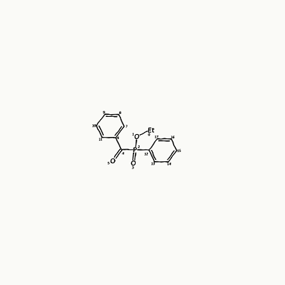 CCOP(=O)(C(=O)c1ccccc1)c1ccccc1